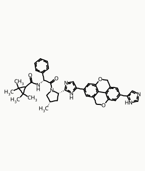 C[C@H]1C[C@@H](c2ncc(-c3cc4c5c(c3)OCc3cc(-c6cnc[nH]6)cc(c3-5)OC4)[nH]2)N(C(=O)[C@H](NC(=O)C2C(C)(C)C2(C)C)c2ccccc2)C1